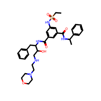 CCS(=O)(=O)Nc1cc(C(=O)NC(C)c2ccccc2)cc(C(=O)NC(Cc2ccccc2)C(O)CNCCN2CCOCC2)c1